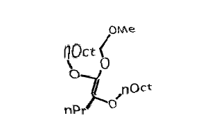 CCCCCCCCOC(CCC)=C(OCCCCCCCC)OCOC